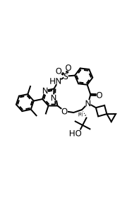 Cc1cccc(C)c1-c1nc2nc(c1C)OC[C@@H](CC(C)(C)O)N(C1CC3(CC3)C1)C(=O)c1cccc(c1)S(=O)(=O)N2